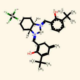 C=C1C=C(C(C)(C)C)C(O)=C(C=[N+]2[Co][N+](=Cc3cccc(C(C)(C)C)c3O)[C@@H]3CCCC[C@H]32)C1.F[B-](F)(F)F